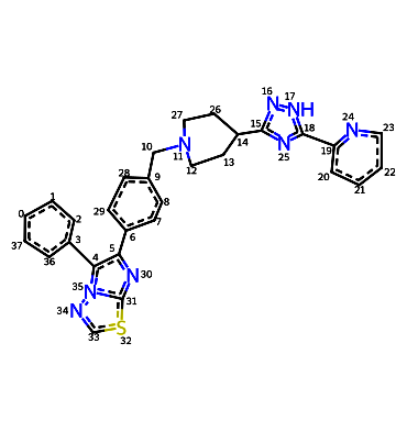 c1ccc(-c2c(-c3ccc(CN4CCC(c5n[nH]c(-c6ccccn6)n5)CC4)cc3)nc3scnn23)cc1